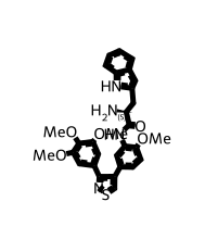 COc1ccc(-c2csnc2-c2cc(OC)c(OC)c(OC)c2)cc1NC(=O)[C@@H](N)Cc1cc2ccccc2[nH]1